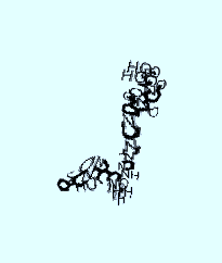 [2H]C([2H])([2H])Oc1ncc(-c2ccnc(N3CCc4c(sc5c4CCCC5)C3=O)c2[C@@H](C)O)cc1Nc1ccc(N2CCN(C3CCN(c4ccc5c(c4)C(=O)N(C4CCC(=O)N(C(C)OP(=O)(O)O)C4=O)C5=O)CC3)C[C@@H]2C)cn1